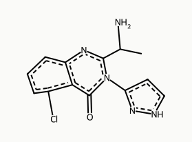 CC(N)c1nc2cccc(Cl)c2c(=O)n1-c1cc[nH]n1